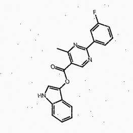 Cc1nc(-c2cccc(F)c2)ncc1C(=O)Oc1c[nH]c2ccccc12